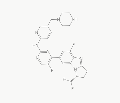 Fc1cnc(Nc2ccc(CN3CCNCC3)cn2)nc1-c1cc(F)c2nc3n(c2c1)[C@H](C(F)F)CC3